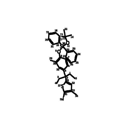 CCC(CC)(c1ccc(O[Si](OC(C)(C)C)(c2ccccc2)c2ccccc2)c(C)c1)c1cc(C)c(I)s1